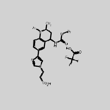 CC(=O)N1c2ccc(-c3cn(CCC(=O)O)cn3)cc2C(NC(=O)OC(C)C)CC1C.O=C(O)C(F)(F)F